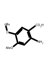 CCCCOc1cc(C(=O)O)c(N)cc1OC